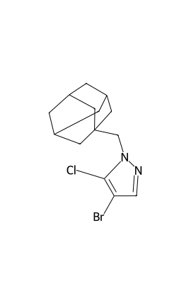 Clc1c(Br)cnn1CC12CC3CC(CC(C3)C1)C2